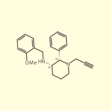 C#CCN1CCC[C@H](NCc2ccccc2OC)[C@@H]1c1ccccc1